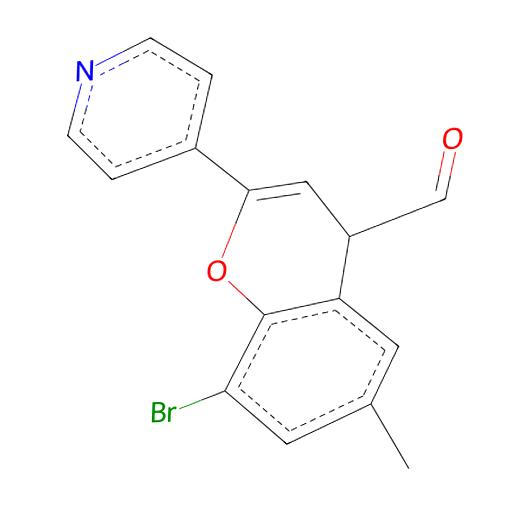 Cc1cc(Br)c2c(c1)C(C=O)C=C(c1ccncc1)O2